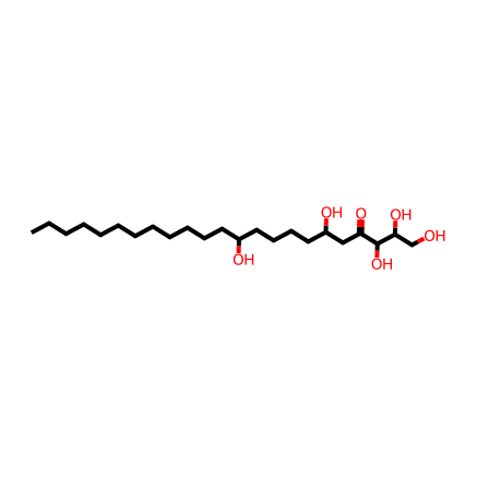 CCCCCCCCCCCCC(O)CCCCC(O)CC(=O)C(O)C(O)CO